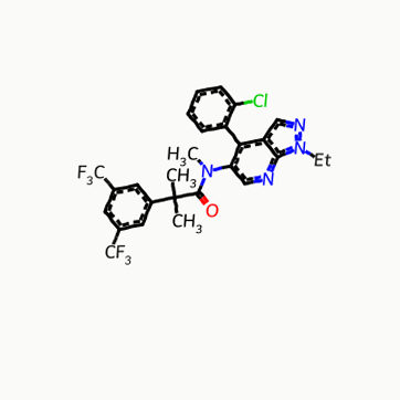 CCn1ncc2c(-c3ccccc3Cl)c(N(C)C(=O)C(C)(C)c3cc(C(F)(F)F)cc(C(F)(F)F)c3)cnc21